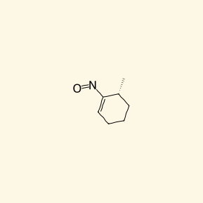 C[C@@H]1CCCC=C1N=O